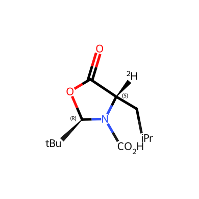 [2H][C@]1(CC(C)C)C(=O)O[C@H](C(C)(C)C)N1C(=O)O